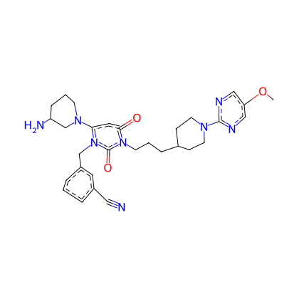 COc1cnc(N2CCC(CCCn3c(=O)cc(N4CCCC(N)C4)n(Cc4cccc(C#N)c4)c3=O)CC2)nc1